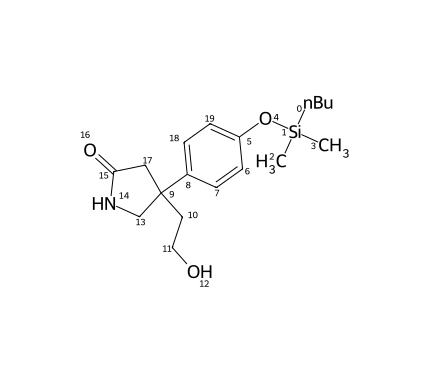 CCCC[Si](C)(C)Oc1ccc(C2(CCO)CNC(=O)C2)cc1